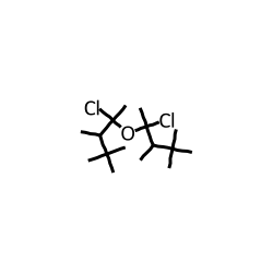 CC(C(C)(C)C)C(C)(Cl)OC(C)(Cl)C(C)C(C)(C)C